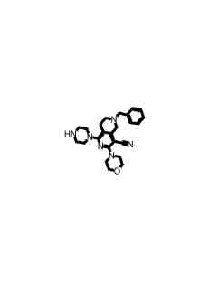 N#Cc1c(N2CCOCC2)nc(N2CCNCC2)c2c1CN(Cc1ccccc1)CC2